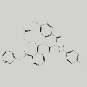 CC(=O)Np1oc(Oc2ccccc2)c2ccccc2c(-n2c(=O)n(S(=O)(=O)c3ccc(Cl)cc3)c(=O)c3ccc(Cl)cc32)o1